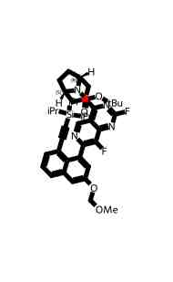 COCOc1cc(-c2ncc3c(N4C[C@H]5CC[C@@H](C4)N5C(=O)OC(C)(C)C)nc(F)nc3c2F)c2c(C#C[Si](C(C)C)(C(C)C)C(C)C)cccc2c1